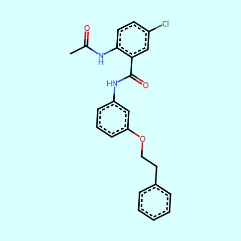 CC(=O)Nc1ccc(Cl)cc1C(=O)Nc1cccc(OCCc2ccccc2)c1